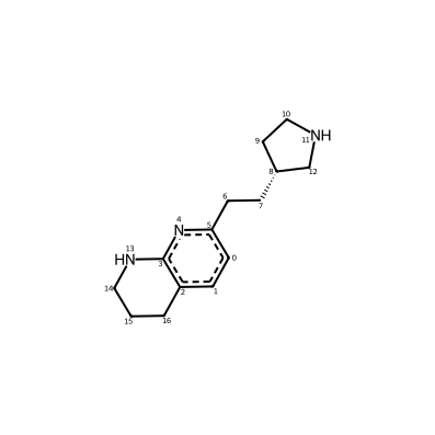 c1cc2c(nc1CC[C@@H]1CCNC1)NCCC2